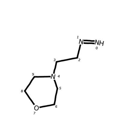 N=NCCN1CCOCC1